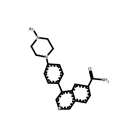 CC(=O)N1CCN(c2ccc(-c3cncc4ccc(C(N)=O)cc34)cc2)CC1